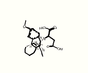 COc1ccc2c(c1)[C@]13CCCC[C@@H]1[C@H](C2)N(C)CC3.NC(CC(=O)O)C(=O)O